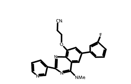 CNc1nc(-c2cccnc2)nc2c(OCCC#N)cc(-c3cccc(F)c3)cc12